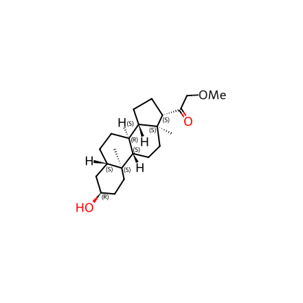 COCC(=O)[C@H]1CC[C@H]2[C@@H]3CC[C@H]4C[C@H](O)CC[C@]4(C)[C@H]3CC[C@]12C